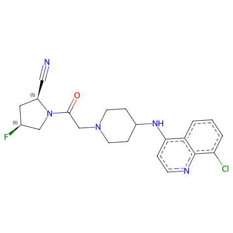 N#C[C@@H]1C[C@H](F)CN1C(=O)CN1CCC(Nc2ccnc3c(Cl)cccc23)CC1